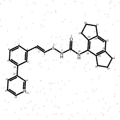 O=C(NS/C=C/c1cccc(-c2cccnc2)c1)Nc1c2c(cc3c1CCC3)CCC2